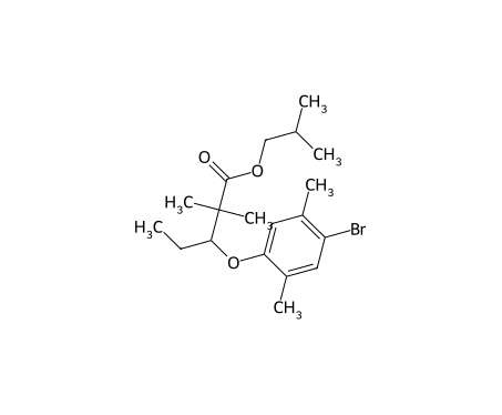 CCC(Oc1cc(C)c(Br)cc1C)C(C)(C)C(=O)OCC(C)C